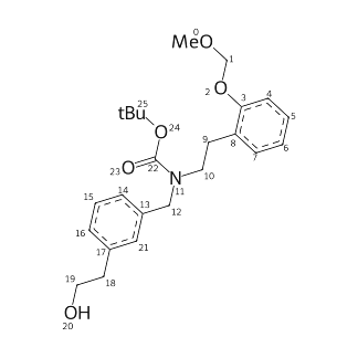 COCOc1ccccc1CCN(Cc1cccc(CCO)c1)C(=O)OC(C)(C)C